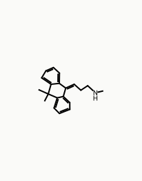 CNCCC=C1c2ccccc2C(C)(C)c2ccccc21